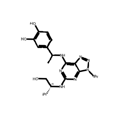 CC(Nc1nc(N[C@@H](CO)C(C)C)nc2c1nnn2C(C)C)c1ccc(O)c(O)c1